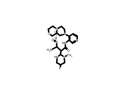 CN1CC(F)CNC1C(C(=O)Nc1cnccc1N1CCN2CCOC[C@@H]2C1)C(N)N=O